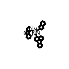 c1ccc2c(c1)-c1cccc3c(-c4nc(-c5ccc6ccccc6c5)nc(-c5nccc6oc7ccccc7c56)n4)ccc-2c13